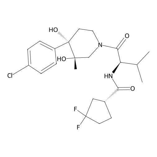 CC(C)[C@@H](NC(=O)[C@@H]1CCC(F)(F)C1)C(=O)N1CC[C@](O)(c2ccc(Cl)cc2)[C@@](C)(O)C1